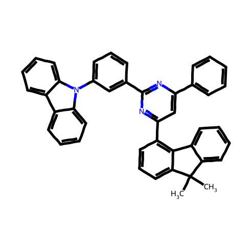 CC1(C)c2ccccc2-c2c(-c3cc(-c4ccccc4)nc(-c4cccc(-n5c6ccccc6c6ccccc65)c4)n3)cccc21